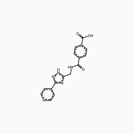 O=C(O)c1ccc(C(=O)NCc2nc(-c3ccncc3)n[nH]2)cc1